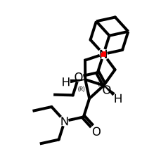 CCOC(=O)N1CC2CC(C1)C2N1C[C@@H]2C(C(=O)N(CC)CC)[C@@H]2C1